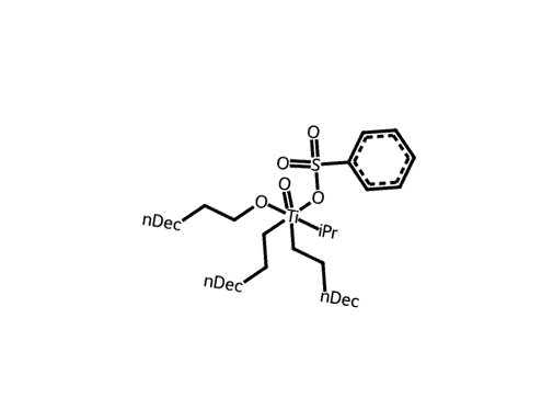 CCCCCCCCCCCC[O][Ti](=[O])([CH2]CCCCCCCCCCC)([CH2]CCCCCCCCCCC)([O]S(=O)(=O)c1ccccc1)[CH](C)C